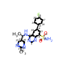 C[C@@H](Nc1ncnc2c(S(N)(=O)=O)cc(-c3ccc(F)cc3)cc12)c1cnc(C(F)(F)F)nc1